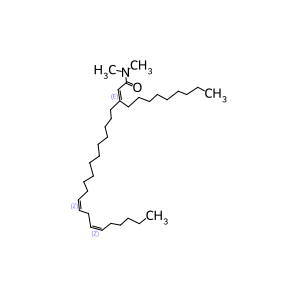 CCCCC/C=C\C/C=C\CCCCCCCCCC/C(=C/C(=O)N(C)C)CCCCCCCCC